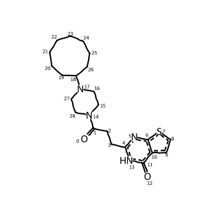 O=C(CCc1nc2sccc2c(=O)[nH]1)N1CCN(C2CCCCCCCC2)CC1